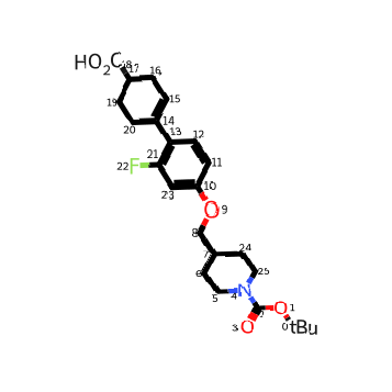 CC(C)(C)OC(=O)N1CCC(COc2ccc(C3=CCC(C(=O)O)CC3)c(F)c2)CC1